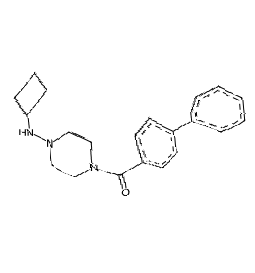 O=C(c1ccc(-c2ccccc2)cc1)N1CCN(NC2CCC2)CC1